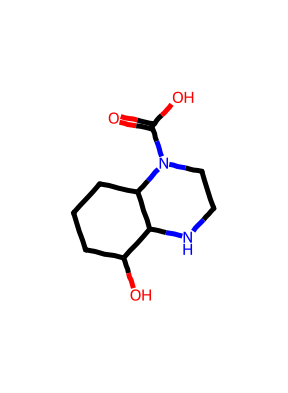 O=C(O)N1CCNC2C(O)CCCC21